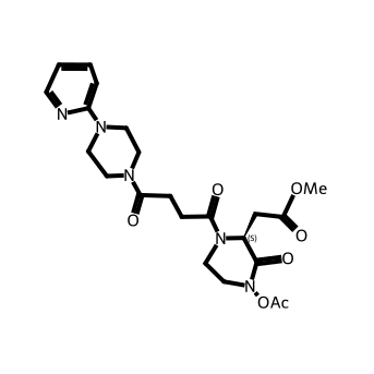 COC(=O)C[C@H]1C(=O)N(OC(C)=O)CCN1C(=O)CCC(=O)N1CCN(c2ccccn2)CC1